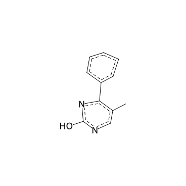 Cc1cnc(O)nc1-c1ccccc1